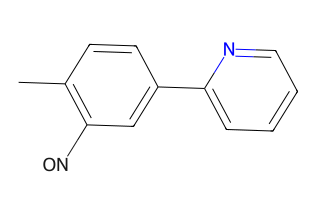 Cc1ccc(-c2ccccn2)cc1N=O